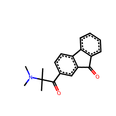 CN(C)C(C)(C)C(=O)c1ccc2c(c1)C(=O)c1ccccc1-2